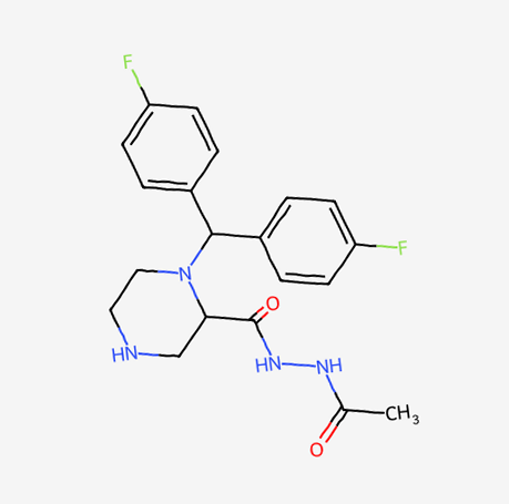 CC(=O)NNC(=O)C1CNCCN1C(c1ccc(F)cc1)c1ccc(F)cc1